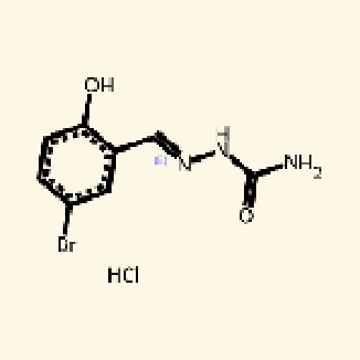 Cl.NC(=O)N/N=C/c1cc(Br)ccc1O